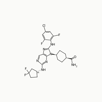 NC(=O)[C@H]1CC[C@@H](n2c(Nc3c(F)cc(Cl)cc3F)nc3cnc(N[C@@H]4CCC(F)(F)C4)nc32)CC1